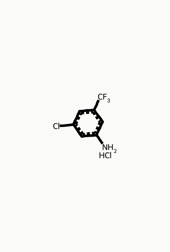 Cl.Nc1cc(Cl)cc(C(F)(F)F)c1